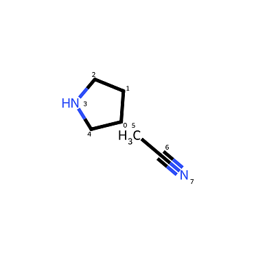 C1CCNC1.CC#N